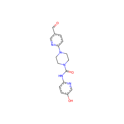 O=Cc1ccc(N2CCN(C(=O)Nc3ccc(O)cn3)CC2)nc1